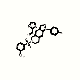 Cc1cccc(S(=O)(=O)N2CCC3=Cc4c(cnn4-c4ccc(F)cc4)C[C@]3(C(=O)c3nccs3)C2)c1